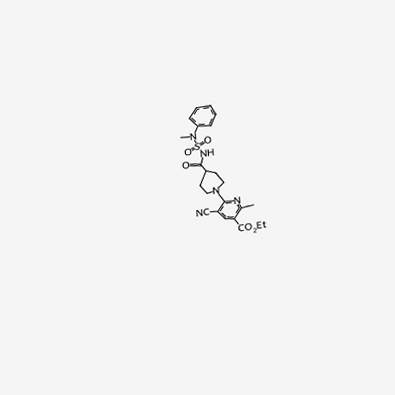 CCOC(=O)c1cc(C#N)c(N2CCC(C(=O)NS(=O)(=O)N(C)c3ccccc3)CC2)nc1C